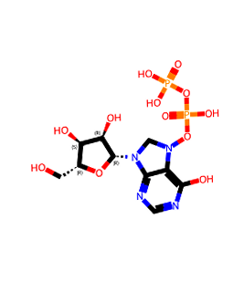 O=P(O)(O)OP(=O)(O)ON1CN([C@@H]2O[C@H](CO)[C@@H](O)[C@H]2O)c2ncnc(O)c21